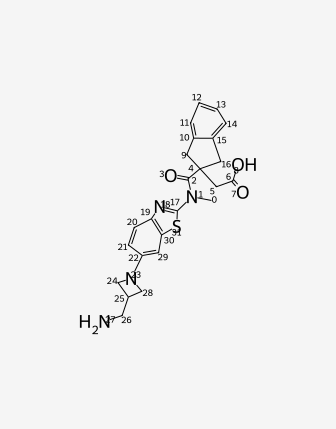 CN(C(=O)C1(CC(=O)O)Cc2ccccc2C1)c1nc2ccc(N3CC(CN)C3)cc2s1